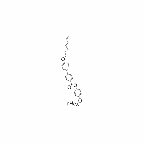 C=CCCCCCOc1ccc(-c2ccc(C(=O)Oc3ccc(OCCCCCC)cc3)cc2)cc1